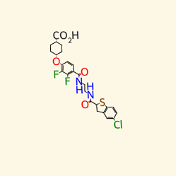 O=C(NCCNC(=O)C1Cc2cc(Cl)ccc2S1)c1ccc(O[C@H]2CC[C@@H](C(=O)O)CC2)c(F)c1F